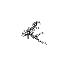 COCCOCCSCC(NC(=O)OCCOC)C(=O)NCC(=O)N[C@H]1C([C@H](O)[C@H](O)CO)O[C@@](C)(OP(C)(=O)OCC2OC(n3ccc(N)nc3=O)[C@H](O)[C@@H]2O)C[C@H]1O